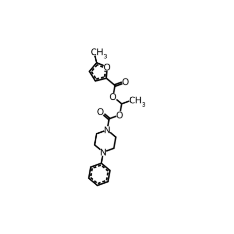 Cc1ccc(C(=O)OC(C)OC(=O)N2CCN(c3ccccc3)CC2)o1